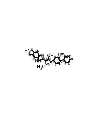 Cn1nc(-c2ccc(-c3cccnc3O)cc2)c(O)c1-c1nc2cc3c(cc2[nH]1)CNC3